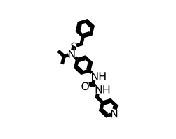 CC(C)N(SCc1ccccc1)c1ccc(NC(=O)NCc2ccncc2)cc1